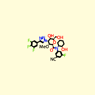 CO[C@@H]1[C@@H](n2cc(-c3cc(F)c(F)c(F)c3)nn2)[C@@H](O)[C@@H](CO)O[C@H]1C(=O)N(c1cc(F)cc(C#N)c1)[C@H]1CCCC[C@@H]1O